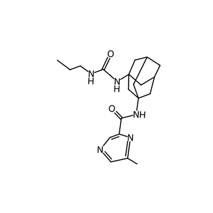 CCCNC(=O)NC12CC3CC(C1)CC(NC(=O)c1cncc(C)n1)(C3)C2